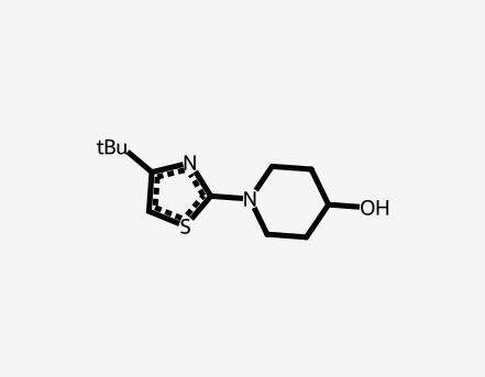 CC(C)(C)c1csc(N2CCC(O)CC2)n1